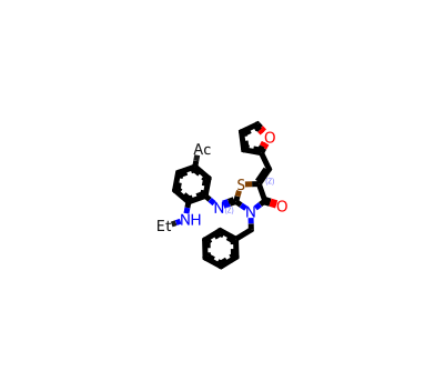 CCNc1ccc(C(C)=O)cc1/N=C1\S/C(=C\c2ccco2)C(=O)N1Cc1ccccc1